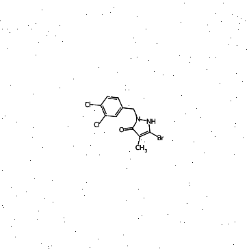 Cc1c(Br)[nH]n(Cc2ccc(Cl)c(Cl)c2)c1=O